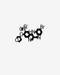 N#Cc1cnc2cc(OC3CCOC3)c([N+](=O)[O-])cc2c1Nc1cccc(Br)c1